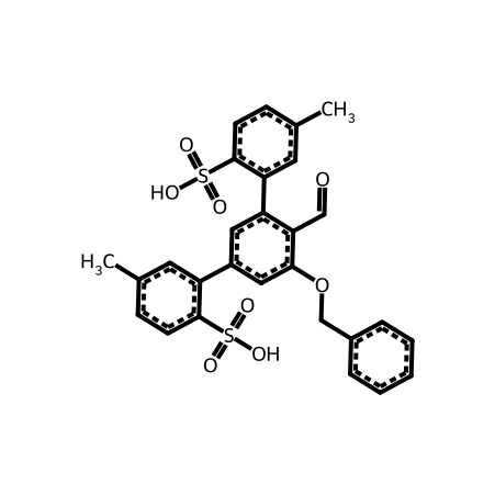 Cc1ccc(S(=O)(=O)O)c(-c2cc(OCc3ccccc3)c(C=O)c(-c3cc(C)ccc3S(=O)(=O)O)c2)c1